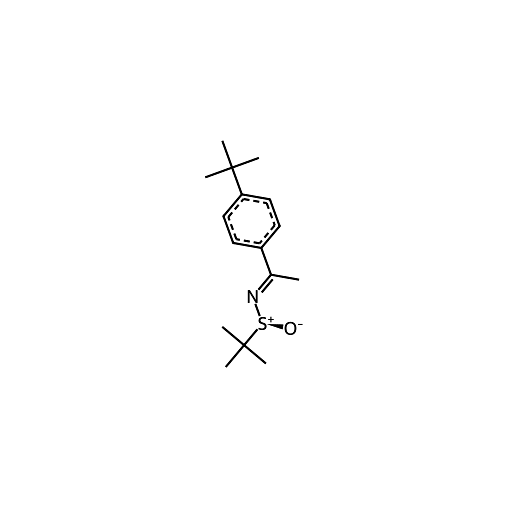 C/C(=N\[S@@+]([O-])C(C)(C)C)c1ccc(C(C)(C)C)cc1